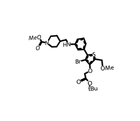 COCc1sc(-c2cccc(NCC3CCN(C(=O)OC)CC3)c2)c(Br)c1OCC(=O)OC(C)(C)C